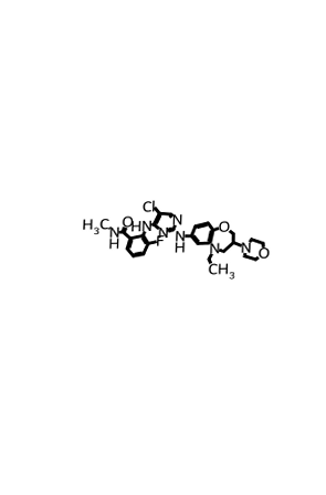 CCN1CC(N2CCOCC2)COc2ccc(Nc3ncc(Cl)c(Nc4c(F)cccc4C(=O)NC)n3)cc21